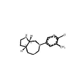 Cc1cc(N2CCC[C@@H]3CCN[C@@H]3C2)cnc1Cl